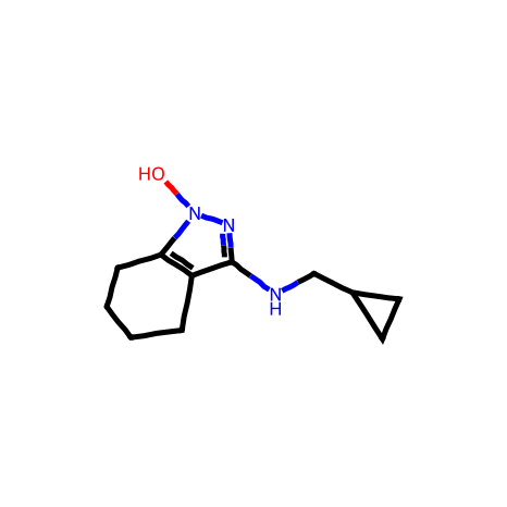 On1nc(NCC2CC2)c2c1CCCC2